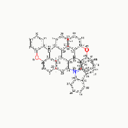 c1ccc2c(c1)Oc1ccccc1B2c1ccccc1-c1cccc(-n2c3ccccc3c3ccccc32)c1B1c2ccccc2Oc2ccccc21